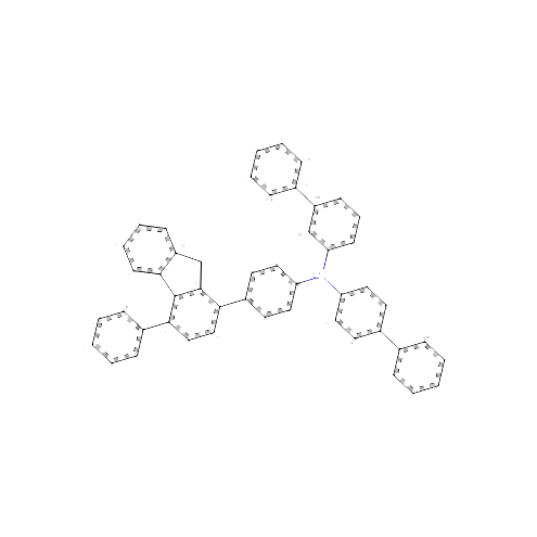 c1ccc(-c2ccc(N(c3ccc(-c4ccc(-c5ccccc5)c5c4Cc4ccccc4-5)cc3)c3cccc(-c4ccccc4)c3)cc2)cc1